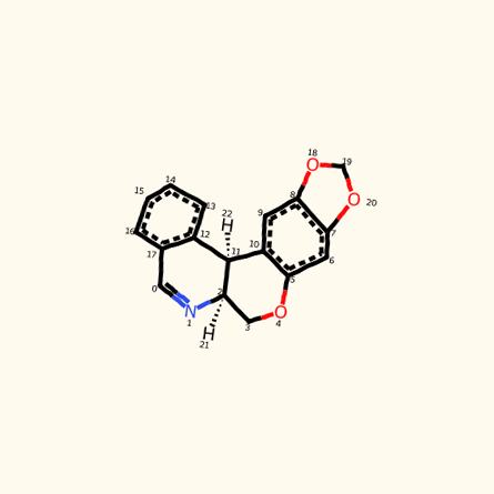 C1=N[C@@H]2COc3cc4c(cc3[C@@H]2c2ccccc21)OCO4